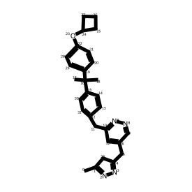 CC1=NN=C(Cc2cnnc(Cc3ccc(C(C)(C)c4ccc(OC5CCC5)cc4)cc3)c2)C1